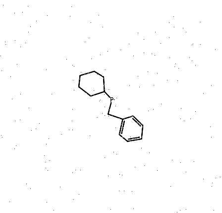 c1ccc(C[P]C2CCCCC2)cc1